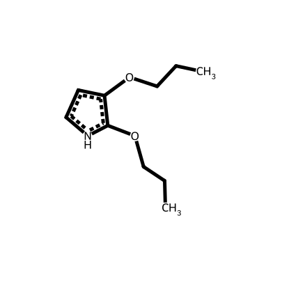 CCCOc1cc[nH]c1OCCC